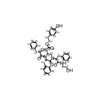 O=C(NCCO)[C@H](Cc1ccccc1)N1CC2N(C(=O)OCCc3ccc(O)cc3)O[C@H](Cc3ccccc3)C(=O)N2[C@@H](Cc2ccccc2)C1=O